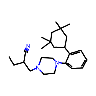 CCC(C#N)CN1CCN(c2ccccc2C2CC(C)(C)CC(C)(C)C2)CC1